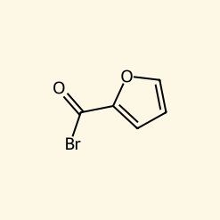 O=C(Br)c1ccco1